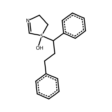 OS1(C(CCc2ccccc2)c2ccccc2)C=NCC1